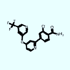 NC(=O)c1ccc(-c2cc(Oc3cncc(C(F)(F)F)c3)ccn2)cc1Cl